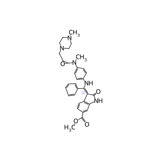 COC(=O)c1ccc2c(c1)NC(=O)/C2=C(\Nc1ccc(N(C)C2OC2CN2CCN(C)CC2)cc1)c1ccccc1